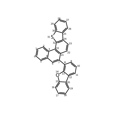 c1ccc2c(c1)cc(-c1cccc3c1oc1ccccc13)c1ccc3c4ccccc4sc3c12